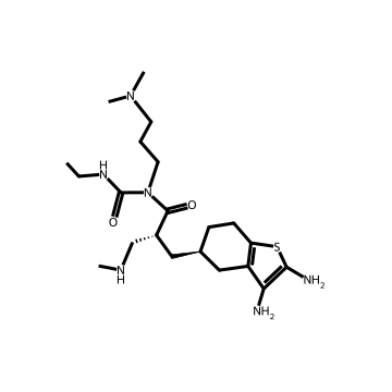 CCNC(=O)N(CCCN(C)C)C(=O)[C@@H](CNC)C[C@H]1CCc2sc(N)c(N)c2C1